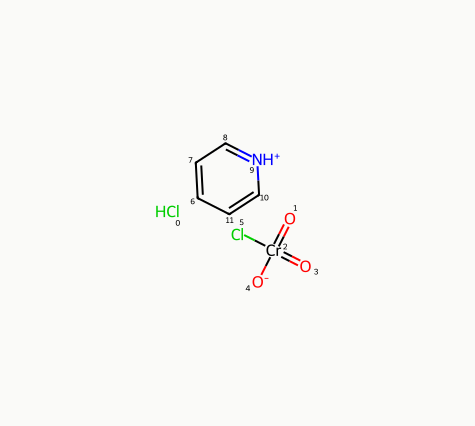 Cl.[O]=[Cr](=[O])([O-])[Cl].c1cc[nH+]cc1